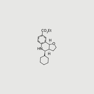 CCOC(=O)c1ccc2c(c1)[C@H]1OCC[C@H]1[C@@H](C1CCCCC1)N2